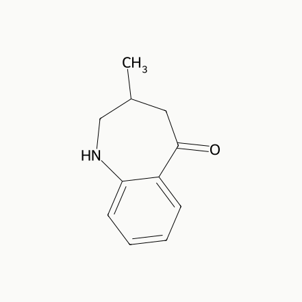 CC1CNc2ccccc2C(=O)C1